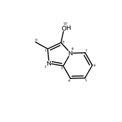 Cc1nc2ccccn2c1O